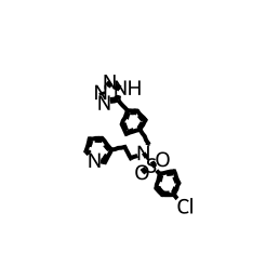 O=S(=O)(c1ccc(Cl)cc1)N(CCc1cccnc1)Cc1ccc(-c2nnn[nH]2)cc1